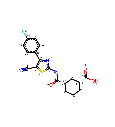 N#Cc1sc(NC(=O)[C@H]2CCC[C@@H](C(=O)O)C2)nc1-c1ccc(F)cc1